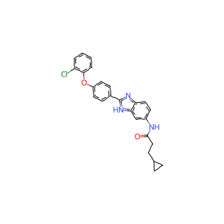 O=C(CCC1CC1)Nc1ccc2nc(-c3ccc(Oc4ccccc4Cl)cc3)[nH]c2c1